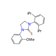 COc1ccccc1N1CCN(c2c(C(C)C)cccc2C(C)C)C1=S